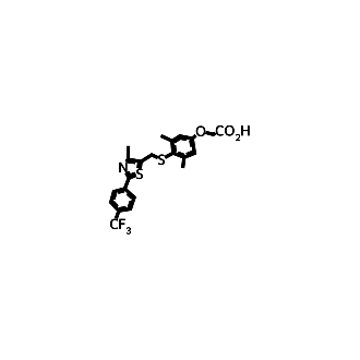 Cc1cc(OCC(=O)O)cc(C)c1SCc1sc(-c2ccc(C(F)(F)F)cc2)nc1C